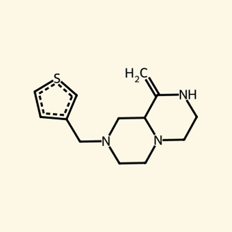 C=C1NCCN2CCN(Cc3ccsc3)CC12